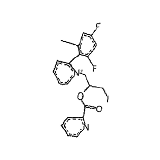 Cc1cc(F)cc(F)c1-c1cccc[n+]1CC(CI)OC(=O)c1ccccn1